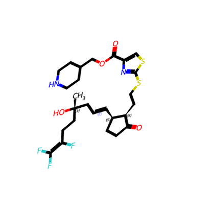 C[C@@](O)(C/C=C/[C@@H]1CCC(=O)[C@@H]1CCSc1nc(C(=O)OCC2CCNCC2)cs1)CCC(F)=C(F)F